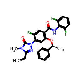 CCc1nn(-c2cc(O[C@@H](C)c3ccccc3)c(C(=O)Nc3c(F)cccc3F)cc2F)c(=O)n1C